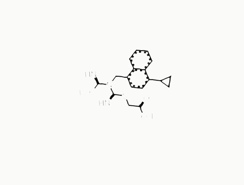 CC(=N)N(Cc1ccc(C2CC2)c2ccccc12)C(=N)SCC(=O)O